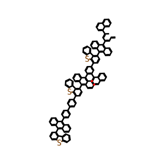 C=C/C=C(\C=C(/C)c1cccc2ccccc12)c1c2ccccc2c(-c2ccc(-c3ccc(-c4c5ccccc5c(-c5ccc(-c6ccc(-c7ccc(-c8c9ccccc9c(-c9cccc%10sc%11ccccc%11c9%10)c9ccccc89)cc7)cc6)c6sc7ccccc7c56)c5ccccc45)c(-c4cccc5ccccc45)c3)c3sc4ccccc4c23)c2ccccc12